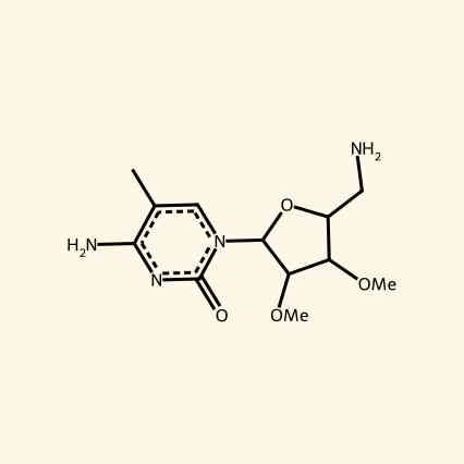 COC1C(CN)OC(n2cc(C)c(N)nc2=O)C1OC